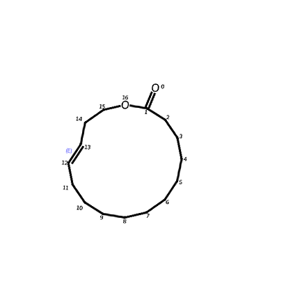 O=C1CCCCCCCCCC/C=C/CCO1